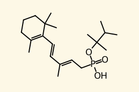 CC(C=CC1=C(C)CCCC1(C)C)=CCP(=O)(O)OC(C)(C)C(C)C